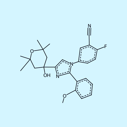 COc1ccccc1-c1nc(C2(O)CC(C)(C)OC(C)(C)C2)cn1-c1ccc(F)c(C#N)c1